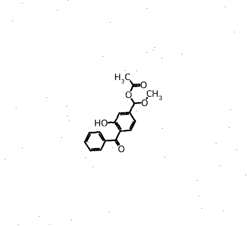 COC(OC(C)=O)c1ccc(C(=O)c2ccccc2)c(O)c1